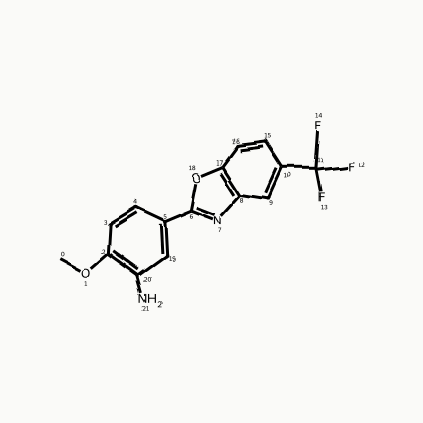 COc1ccc(-c2nc3cc(C(F)(F)F)ccc3o2)cc1N